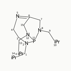 CC(C)CN1CCN=C2CN(CC(C)C)P1N(CC(C)C)C2